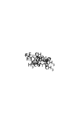 COc1cc2nc(C)nc(N[C@H](C)c3cc(N)cc(C(F)(F)F)c3)c2cc1P(C)(C)=O